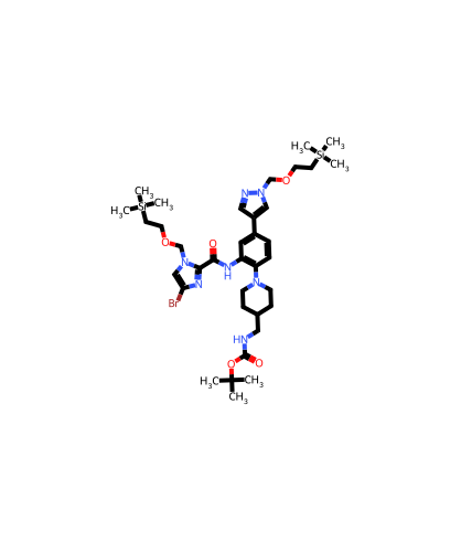 CC(C)(C)OC(=O)NCC1CCN(c2ccc(-c3cnn(COCC[Si](C)(C)C)c3)cc2NC(=O)c2nc(Br)cn2COCC[Si](C)(C)C)CC1